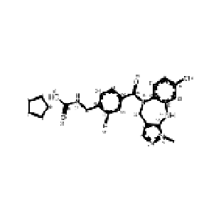 C1CCCC1.Cn1ncc2c1Nc1cc(Cl)ccc1N(C(=O)c1ccc(CNC(=O)O)c(F)c1)C2